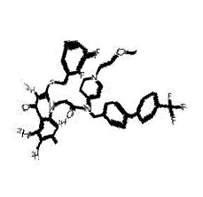 [2H]c1c(C)c([2H])c2c(c1[2H])c(=O)c([2H])c(SCc1cccc(F)c1F)n2CC(=O)N(Cc1ccc(-c2ccc(C(F)(F)F)cc2)cc1)C1CCN(CCOC)CC1